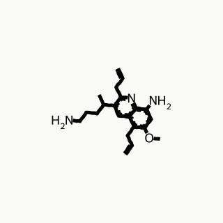 C=CCc1nc2c(N)cc(OC)c(CC=C)c2cc1C(C)CCCN